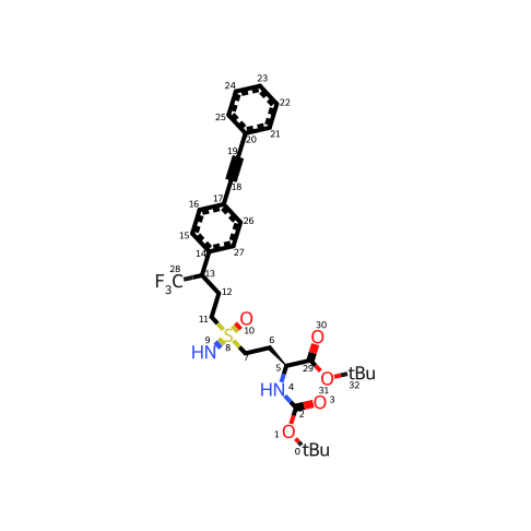 CC(C)(C)OC(=O)N[C@@H](CCS(=N)(=O)CCC(c1ccc(C#Cc2ccccc2)cc1)C(F)(F)F)C(=O)OC(C)(C)C